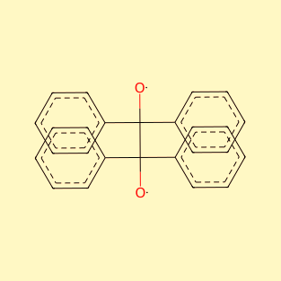 [O]C(c1ccccc1)(c1ccccc1)C([O])(c1ccccc1)c1ccccc1